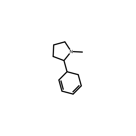 CN1CCCC1C1C=CC=CC1